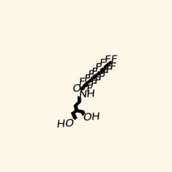 O=C(NCCCC(CCO)CCO)C(F)(F)C(F)(F)C(F)(F)C(F)(F)C(F)(F)C(F)(F)C(F)(F)F